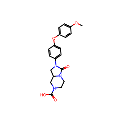 COc1ccc(Oc2ccc(N3CC4CN(C(=O)O)CCN4C3=O)cc2)cc1